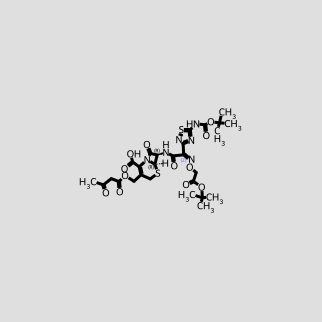 CC(=O)CC(=O)OCC1=C(C(=O)O)N2C(=O)[C@@H](NC(=O)/C(=N\OCC(=O)OC(C)(C)C)c3nsc(NC(=O)OC(C)(C)C)n3)[C@H]2SC1